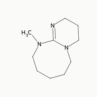 CN1CCCCCN2CCCN=C12